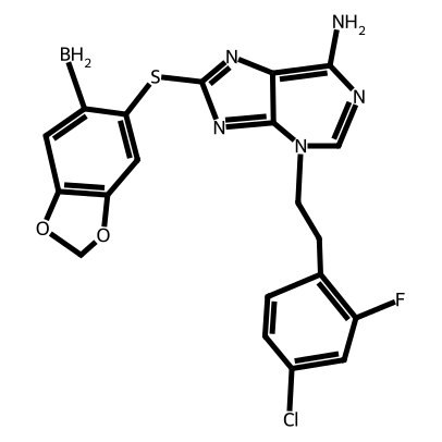 Bc1cc2c(cc1Sc1nc3c(N)ncn(CCc4ccc(Cl)cc4F)c-3n1)OCO2